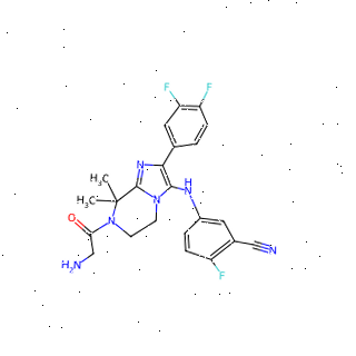 CC1(C)c2nc(-c3ccc(F)c(F)c3)c(Nc3ccc(F)c(C#N)c3)n2CCN1C(=O)CN